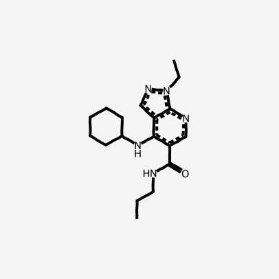 CCCNC(=O)c1cnc2c(cnn2CC)c1NC1CCCCC1